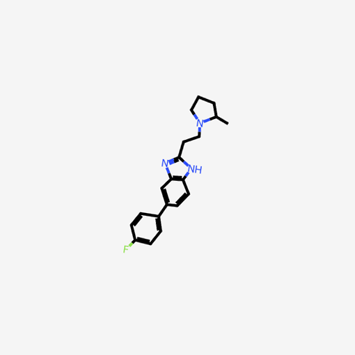 CC1CCCN1CCc1nc2cc(-c3ccc(F)cc3)ccc2[nH]1